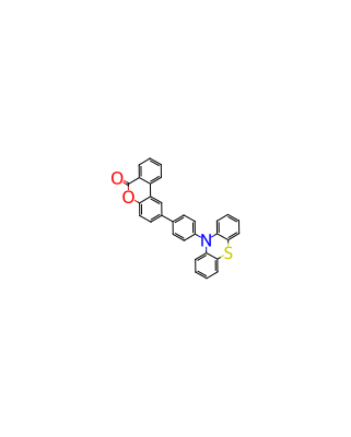 O=c1oc2ccc(-c3ccc(N4c5ccccc5Sc5ccccc54)cc3)cc2c2ccccc12